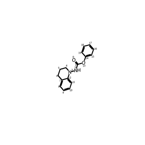 O=C(NN1CCCc2ccccc21)Oc1ccccc1